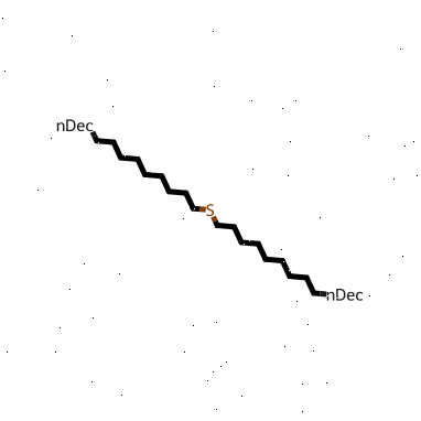 CCCCCCCCCCCCCCCCCCCSCCCCCCCCCCCCCCCCCCC